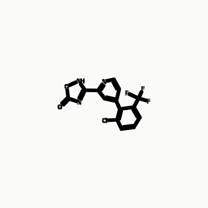 O=c1nc(-c2cc(-c3c(Cl)cccc3C(F)(F)F)ccn2)[nH]o1